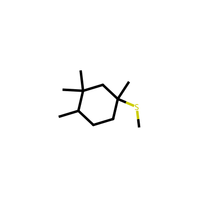 CSC1(C)CCC(C)C(C)(C)C1